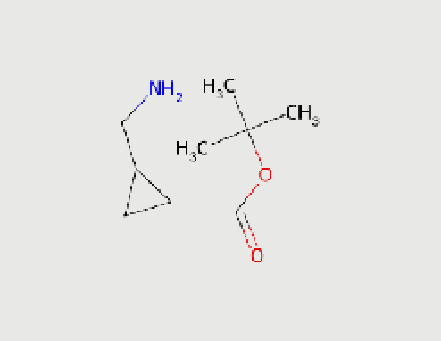 CC(C)(C)OC=O.NCC1CC1